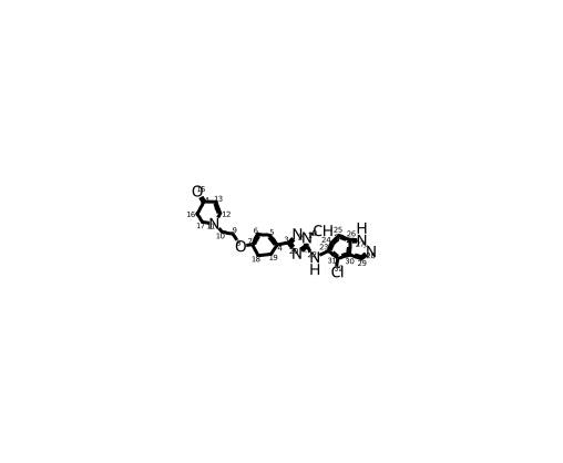 Cn1nc(C2=CC=C(OCCN3C=CC(=O)CC3)CC2)nc1Nc1ccc2[nH]ncc2c1Cl